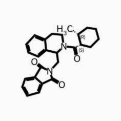 C[C@@H]1CCCC[C@@H]1C(=O)N1CCc2ccccc2C1CN1C(=O)c2ccccc2C1=O